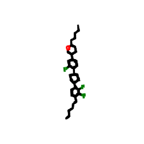 CCCCCCc1ccc(-c2ccc(-c3ccc(C4CCC(CCCCC)OC4)cc3F)cc2)c(F)c1F